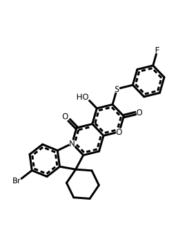 O=c1oc2cc3n(c(=O)c2c(O)c1Sc1cccc(F)c1)-c1ccc(Br)cc1C31CCCCC1